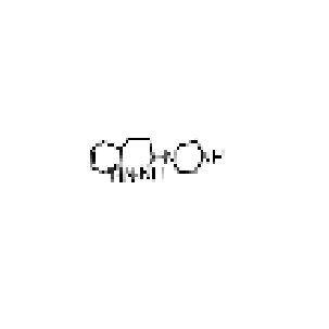 C1=CCC2CCC(N3CCNCC3)NNC2=C1